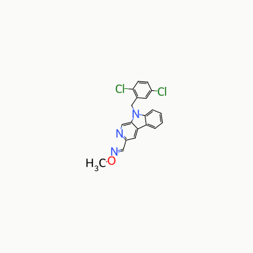 CON=Cc1cc2c3ccccc3n(Cc3cc(Cl)ccc3Cl)c2cn1